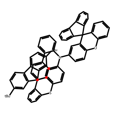 CC(C)(C)c1ccc2c(c1)C1(c3ccccc3Sc3ccc(N(c4ccc5c(c4)C4(c6ccccc6O5)c5ccccc5-c5ccccc54)c4ccccc4-c4ccccc4)cc31)c1cc(C(C)(C)C)ccc1-2